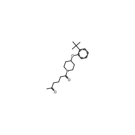 CC(=O)CCCC(=O)N1CCC(Oc2ccccc2C(C)(C)C)CC1